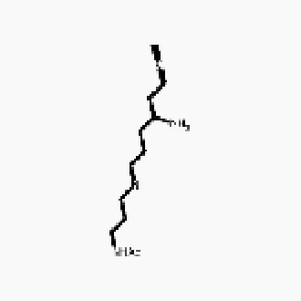 C=C=CCC(N)CCCNCCCNC(C)=O